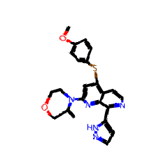 COc1ccc(Sc2cc(N3CCOCC3C)nc3c(-c4ccn[nH]4)nccc23)cc1